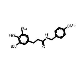 COc1ccc(CNC(=O)CCc2cc(C(C)(C)C)c(O)c(C(C)(C)C)c2)cc1